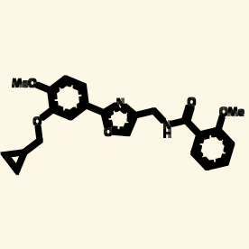 COc1ccc(-c2nc(CNC(=O)c3ccccc3OC)co2)cc1OCC1CC1